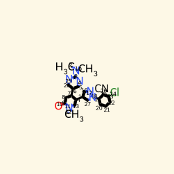 CN(C)c1ncc(-c2cc(=O)n(C)cc2-c2cnn(-c3cccc(Cl)c3C#N)c2)cn1